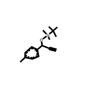 C#CC(O[Si](C)(C)C(C)(C)C)c1ccc(C)cc1